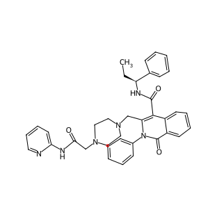 CC[C@H](NC(=O)c1c(CN2CCN(CC(=O)Nc3ccccn3)CC2)n(-c2ccccc2)c(=O)c2ccccc12)c1ccccc1